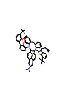 C#C/C=C\c1c(N2c3ccccc3Cc3ccccc3N(c3cccc4c3oc3c(C(C)(C)C)cccc34)c3cc2c2ccc4cc(N(C)C)cc5ccc3c2c45)oc2c(C(C)(C)C)cccc12